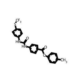 Cc1ccc(OC(=O)c2ccc(NC(=O)Nc3ccc(SC(F)(F)F)cc3)cc2)cc1